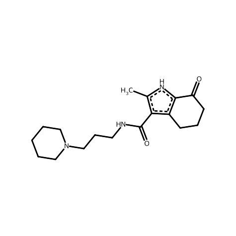 Cc1[nH]c2c(c1C(=O)NCCCN1CCCCC1)CCCC2=O